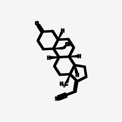 C[C@]12CC[C@H]3[C@@H](CC[C@@H]4CC(=O)CC[C@@]43CO)[C@@H]1CC/C2=C/C#N